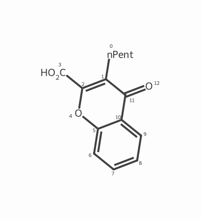 CCCCCc1c(C(=O)O)oc2ccccc2c1=O